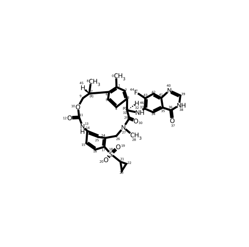 Cc1cc2ccc1[C@@H](C)COC(=O)Nc1ccc(S(=O)(=O)C3CC3)c(c1)CN(C)C(=O)[C@@H]2Nc1cc2c(=O)[nH]cnc2cc1F